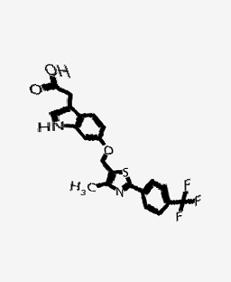 Cc1nc(-c2ccc(C(F)(F)F)cc2)sc1COc1ccc2c(CC(=O)O)c[nH]c2c1